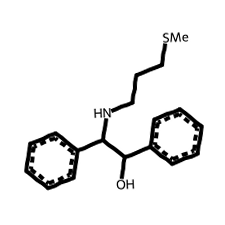 CSCCCNC(c1ccccc1)C(O)c1ccccc1